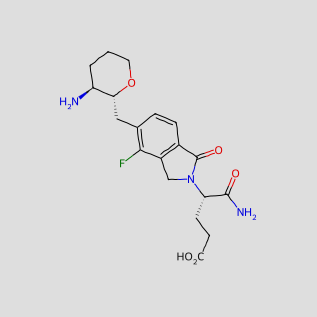 NC(=O)[C@H](CCC(=O)O)N1Cc2c(ccc(C[C@H]3OCCC[C@@H]3N)c2F)C1=O